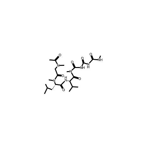 CNC(=O)NC(=O)NC(=O)N(C)C(=O)[C@@H](NC(=O)[C@H](CC(C)C)N(C)C(=O)CN(C)C(C)=O)C(C)C